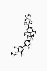 CCCC1COC(c2cc(F)c(C(F)(F)OC3=CC=C(c4cc(F)c(C(F)(F)F)c(F)c4)C(F)C3)c(I)c2)OC1